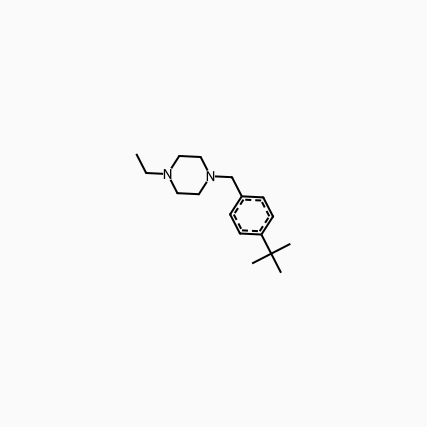 CCN1CCN(Cc2ccc(C(C)(C)C)cc2)CC1